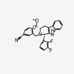 COC(=O)[C@@H]1Cc2c([nH]c3ccccc23)[C@@H](c2cccc(F)c2F)N1Cc1cccc(C#N)c1